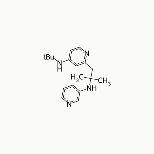 CC(C)(C)Nc1ccnc(CC(C)(C)Nc2cccnc2)c1